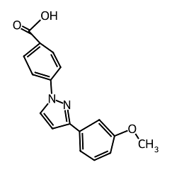 COc1cccc(-c2ccn(-c3ccc(C(=O)O)cc3)n2)c1